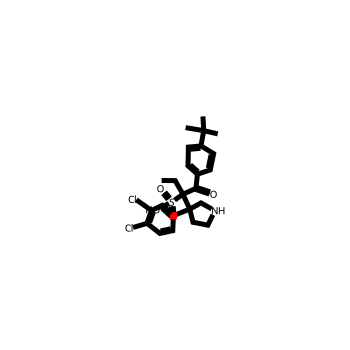 CCC(C(=O)c1ccc(C(C)(C)C)cc1)(C1(c2ccc(Cl)c(Cl)c2)CCNC1)S(=O)(=O)O